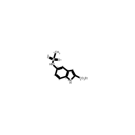 CCOC(=O)c1cc2cc(NS(C)(=O)=O)ccc2[nH]1